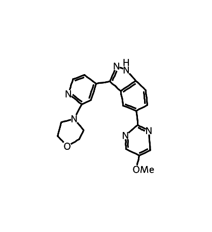 COc1cnc(-c2ccc3[nH]nc(-c4ccnc(N5CCOCC5)c4)c3c2)nc1